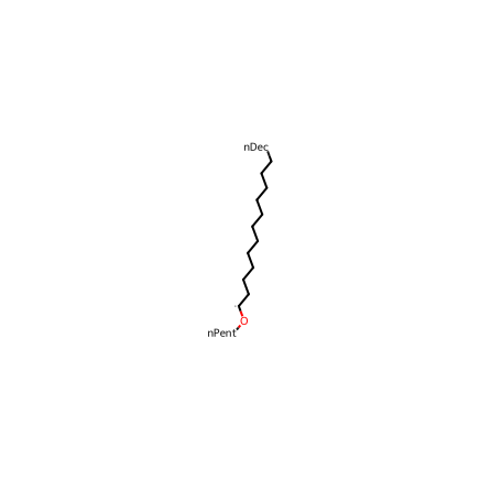 CCCCCCCCCCCCCCCCCCCCC[CH]OCCCCC